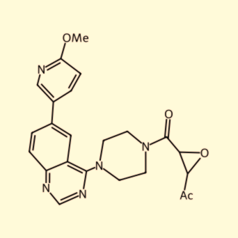 COc1ccc(-c2ccc3ncnc(N4CCN(C(=O)C5OC5C(C)=O)CC4)c3c2)cn1